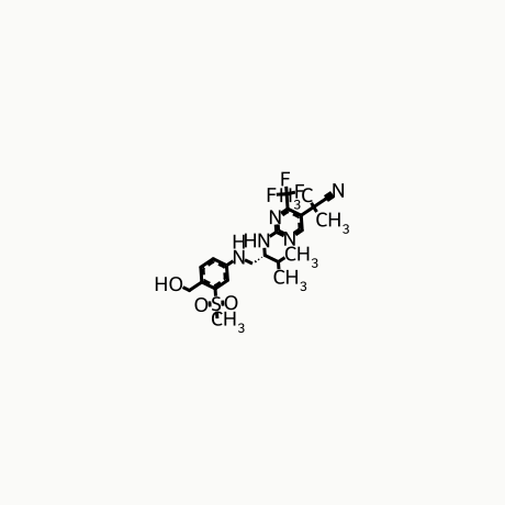 CC(C)[C@H](CNc1ccc(CO)c(S(C)(=O)=O)c1)Nc1ncc(C(C)(C)C#N)c(C(F)(F)F)n1